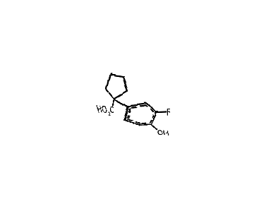 O=C(O)C1(c2ccc(O)c(F)c2)CCCC1